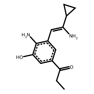 CCC(=O)c1cc(O)c(N)c(/C=C(\N)C2CC2)c1